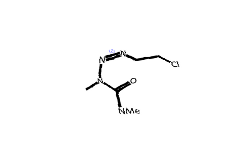 CNC(=O)N(C)/N=N\CCCl